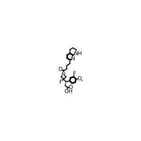 COc1ccc([C@@H](CC(=O)O)C2(F)CN(C(=O)CCCc3ccc4c(n3)NCCC4)C2)cc1F